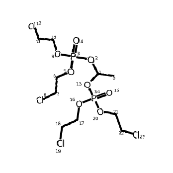 CC(OP(=O)(OCCCl)OCCCl)OP(=O)(OCCCl)OCCCl